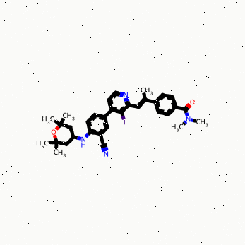 C/C(=C\c1nccc(-c2ccc(NC3CC(C)(C)OC(C)(C)C3)c(C#N)c2)c1I)c1ccc(C(=O)N(C)C)cc1